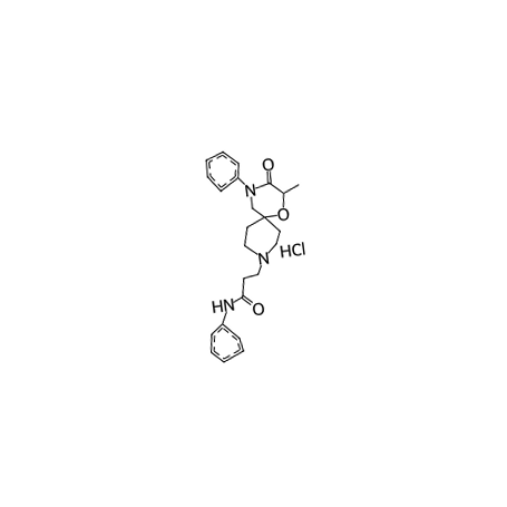 CC1OC2(CCN(CCC(=O)Nc3ccccc3)CC2)CN(c2ccccc2)C1=O.Cl